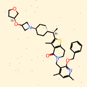 Cc1cc(C)c(CN2CCc3sc([C@H](C)[C@H]4CC[C@H](N5CC(O[C@H]6CCOC6)C5)CC4)c(C)c3C2=O)c(OCc2ccccc2)n1